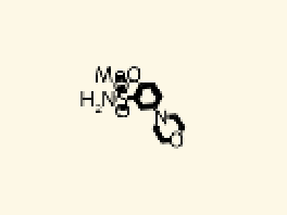 COc1ccc(N2CCOCC2)cc1S(N)(=O)=O